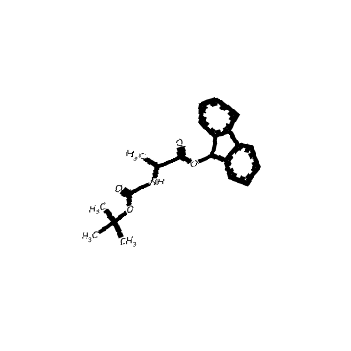 CC(NC(=O)OC(C)(C)C)C(=O)OC1c2ccccc2-c2ccccc21